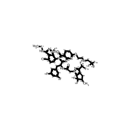 CSNc1nn(C)c2c(-n3c(C(Cc4cc(F)cc(F)c4)NC(=O)Cn4nc(C(F)F)c5c4C(F)(F)C(C)C5)nc4nc(OCCNCC(F)(F)F)ccc4c3=O)ccc(Cl)c12